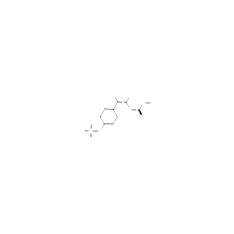 CC(NC(=O)OC(C)(C)C)C(O)C1CCC(O[Si](C)(C)C(C)(C)C)CC1